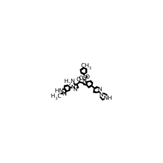 Cc1ccc(S(=O)(=O)n2c(C(=O)c3cnn(-c4ccc5[nH]c(C)nc5c4)c3N)cc3cc(-c4ccc(N5CCNCC5)nc4)ccc32)cc1